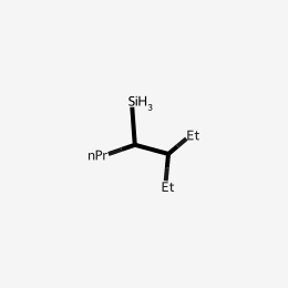 CCCC([SiH3])C(CC)CC